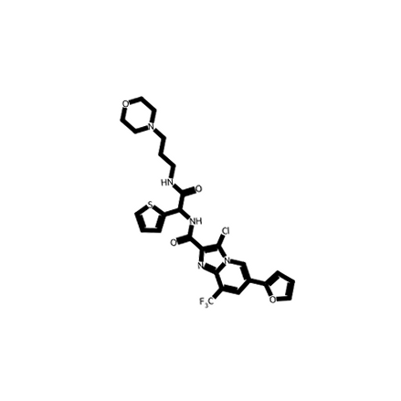 O=C(NC(C(=O)NCCCN1CCOCC1)c1cccs1)c1nc2c(C(F)(F)F)cc(-c3ccco3)cn2c1Cl